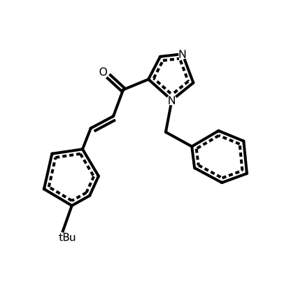 CC(C)(C)c1ccc(C=CC(=O)c2cncn2Cc2ccccc2)cc1